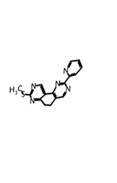 CSc1ncc2c(n1)CCc1cnc(-c3ccccn3)nc1-2